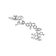 COC(=O)NC(C(=O)N1C[C@H](F)C[C@H]1c1ncc(-c2ccc3c(=O)c4c(ccc5cc(-c6cnc([C@@H]7C[C@@H](F)CN7C(=O)C(NC(=O)O)C(C)C)[nH]6)ccc54)oc3c2)[nH]1)C(C)C